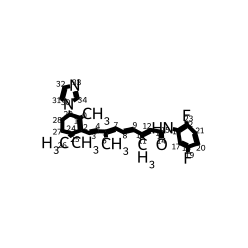 CC1=C(/C=C/C(C)=C/C=C/C(C)=C/C(=O)Nc2cc(F)ccc2F)C(C)(C)CC[C@@H]1n1ccnc1